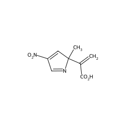 C=C(C(=O)O)C1(C)C=C([N+](=O)[O-])C=N1